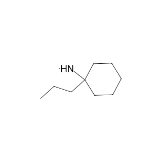 CCCC1([NH])CCCCC1